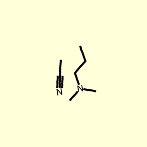 CC#N.CCCN(C)C